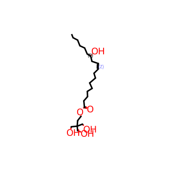 CCCCCC[C@@H](O)C/C=C\CCCCCCCC(=O)OCCC(CO)(CO)CO